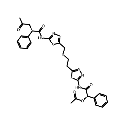 CC(=O)C[C@@H](C(=O)Nc1nnc(CSCCc2nnc(NC(=O)[C@H](OC(C)=O)c3ccccc3)s2)s1)c1ccccc1